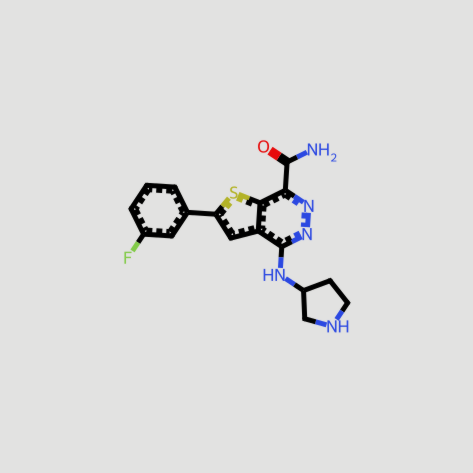 NC(=O)c1nnc(NC2CCNC2)c2cc(-c3cccc(F)c3)sc12